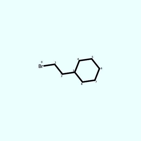 BrC[CH]C1CCCCC1